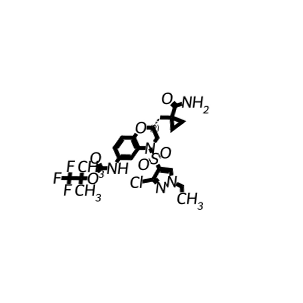 CCn1cc(S(=O)(=O)N2C[C@@H](CC3(C(N)=O)CC3)Oc3ccc(NC(=O)OC(C)(C)C(F)(F)F)cc32)c(Cl)n1